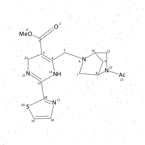 COC(=O)C1=C(CN2CC3CC2CN3C(C)=O)NC(c2nccs2)=NC1